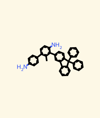 Cc1c(-c2ccc(N)cc2)ccc(N)c1-c1ccc2c(c1)-c1ccccc1C2(c1ccccc1)c1ccccc1